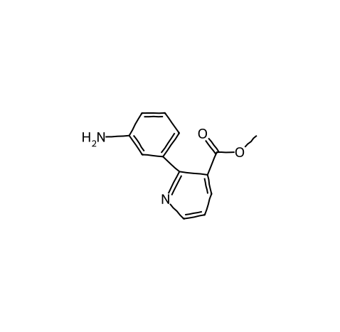 COC(=O)c1cccnc1-c1cccc(N)c1